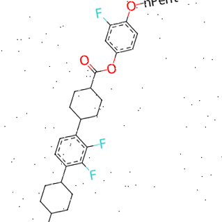 CCCCCOc1ccc(OC(=O)C2CCC(c3ccc(C4CCC(C)CC4)c(F)c3F)CC2)cc1F